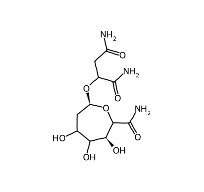 NC(=O)CC(O[C@@H]1CC(O)C(O)[C@H](O)C(C(N)=O)O1)C(N)=O